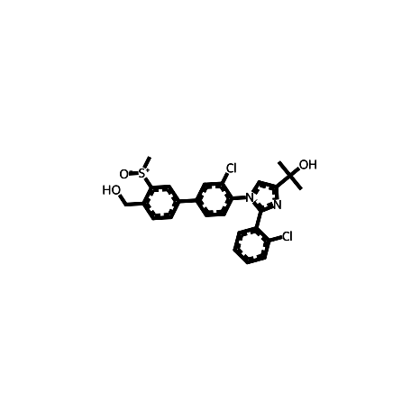 C[S+]([O-])c1cc(-c2ccc(-n3cc(C(C)(C)O)nc3-c3ccccc3Cl)c(Cl)c2)ccc1CO